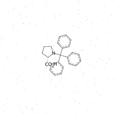 O=C(O)[C@@H]1CCCN1C(c1ccccc1)(c1ccccc1)c1ccccc1